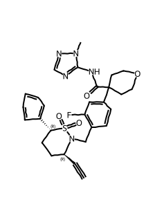 C#C[C@H]1CC[C@H](c2ccccc2)S(=O)(=O)N1Cc1ccc(C2(C(=O)Nc3ncnn3C)CCOCC2)cc1F